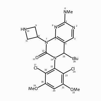 CNc1ncc2c(n1)N(C1CNC1)C(=O)N(c1c(Cl)c(OC)cc(OC)c1Cl)C2C(C)(C)C